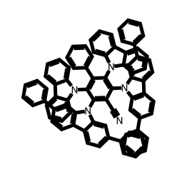 N#Cc1c(-n2c3cc(-c4ccccc4)ccc3c3ccc(-c4ccccc4)cc32)c(-n2c3ccccc3c3ccccc32)c(-c2ccccc2)c(-n2c3ccccc3c3ccccc32)c1-n1c2cc(-c3ccccc3)ccc2c2ccc(-c3ccccc3)cc21